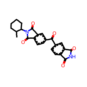 CC1CCCCC1N1C(=O)c2ccc(C(=O)c3ccc4c(c3)C(=O)NC4=O)cc2C1=O